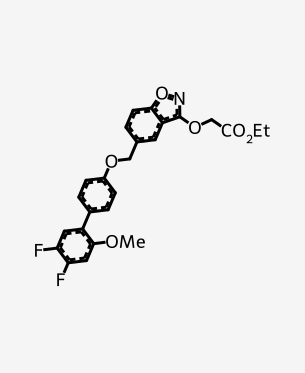 CCOC(=O)COc1noc2ccc(COc3ccc(-c4cc(F)c(F)cc4OC)cc3)cc12